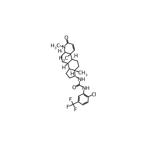 CN1C(=O)C=C[C@]2(C)[C@H]3CC[C@]4(C)[C@@H](NC(=O)Nc5cc(C(F)(F)F)ccc5Cl)CC[C@H]4[C@@H]3CC[C@@H]12